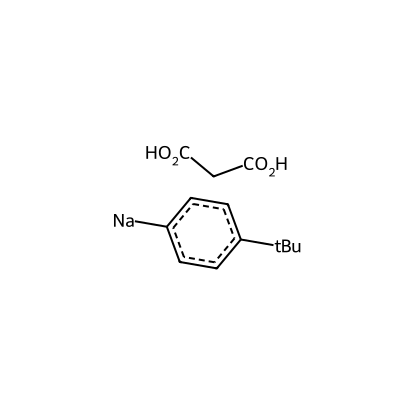 CC(C)(C)c1cc[c]([Na])cc1.O=C(O)CC(=O)O